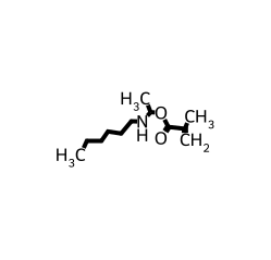 C=C(C)C(=O)OC(C)NCCCCCC